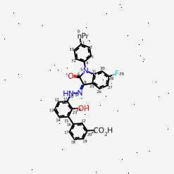 CCCc1ccc(N2C(=O)/C(=N\Nc3cccc(-c4cccc(C(=O)O)c4)c3O)c3ccc(F)cc32)cc1